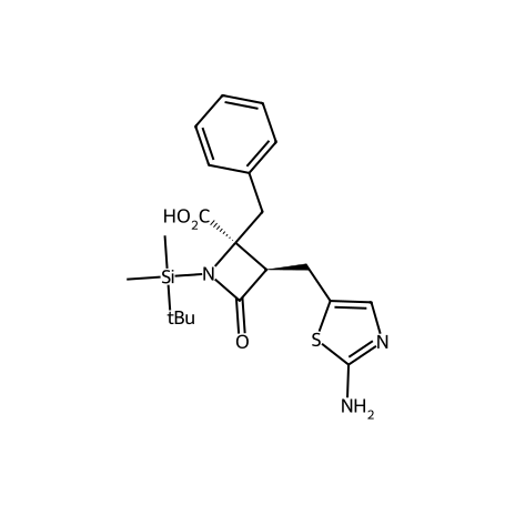 CC(C)(C)[Si](C)(C)N1C(=O)[C@H](Cc2cnc(N)s2)[C@@]1(Cc1ccccc1)C(=O)O